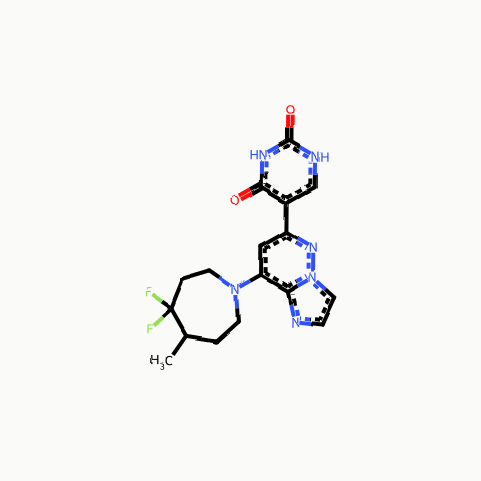 CC1CCN(c2cc(-c3c[nH]c(=O)[nH]c3=O)nn3ccnc23)CCC1(F)F